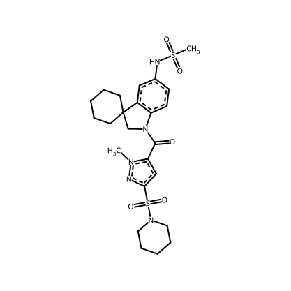 Cn1nc(S(=O)(=O)N2CCCCC2)cc1C(=O)N1CC2(CCCCC2)c2cc(NS(C)(=O)=O)ccc21